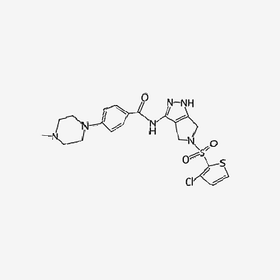 CN1CCN(c2ccc(C(=O)Nc3n[nH]c4c3CN(S(=O)(=O)c3sccc3Cl)C4)cc2)CC1